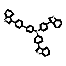 c1ccc2c(-c3ccc(-c4ccc(N(c5ccc(-c6csc7ccccc67)cc5)c5ccc(-c6csc7ccccc67)cc5)cc4)cc3)csc2c1